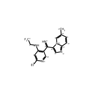 CCc1cc(NCC(F)(F)F)c(C(=N)c2cnc3ccc(C)cn23)cn1